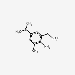 Cc1cc(N(C)C)cc(SS(=O)(=O)O)c1N